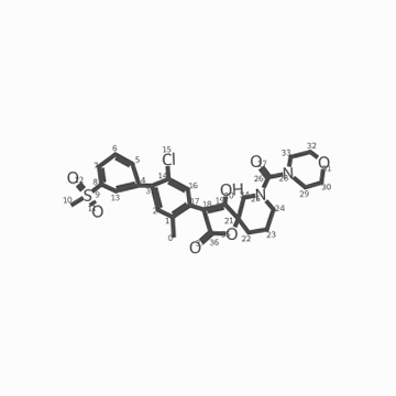 Cc1cc(-c2cccc(S(C)(=O)=O)c2)c(Cl)cc1C1=C(O)C2(CCCN(C(=O)N3CCOCC3)C2)OC1=O